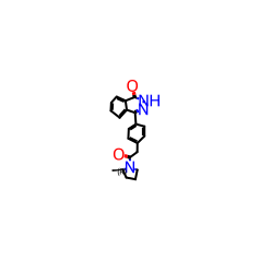 C[C@@H]1CCCN1C(=O)Cc1ccc(-c2n[nH]c(=O)c3ccccc23)cc1